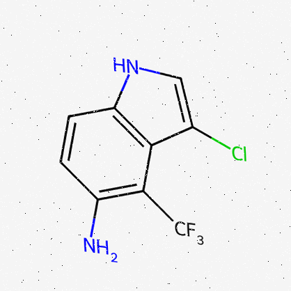 Nc1ccc2[nH]cc(Cl)c2c1C(F)(F)F